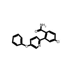 NC(=O)c1ccc(Cl)cc1-c1ccc(Oc2ccccc2)cn1